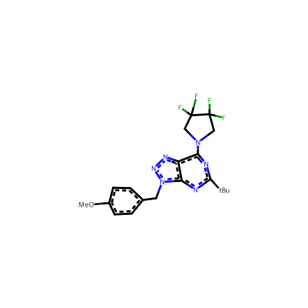 COc1ccc(Cn2nnc3c(N4CC(F)(F)C(F)(F)C4)nc(C(C)(C)C)nc32)cc1